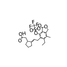 CCc1c(C)c2c(c(OS(=O)(=O)C(F)(F)F)c1CC=C1CCCC1CC(=O)O)C(=O)OC2